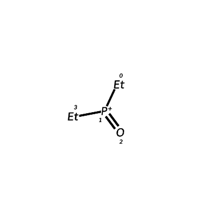 CC[P+](=O)CC